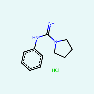 Cl.N=C(Nc1ccccc1)N1CCCC1